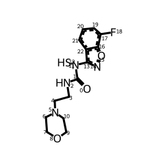 O=C(NCCN1CCOCC1)N(S)c1noc2c(F)cccc12